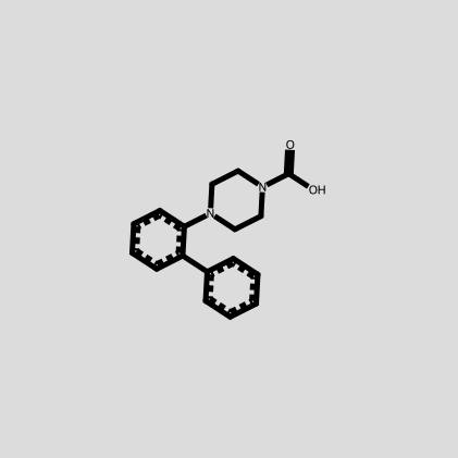 O=C(O)N1CCN(c2ccccc2-c2ccccc2)CC1